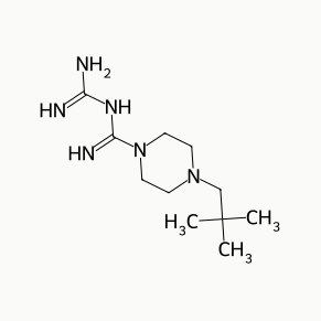 CC(C)(C)CN1CCN(C(=N)NC(=N)N)CC1